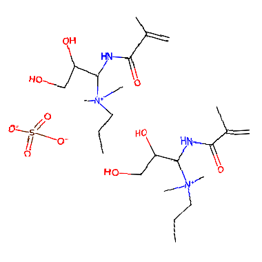 C=C(C)C(=O)NC(C(O)CO)[N+](C)(C)CCC.C=C(C)C(=O)NC(C(O)CO)[N+](C)(C)CCC.O=S(=O)([O-])[O-]